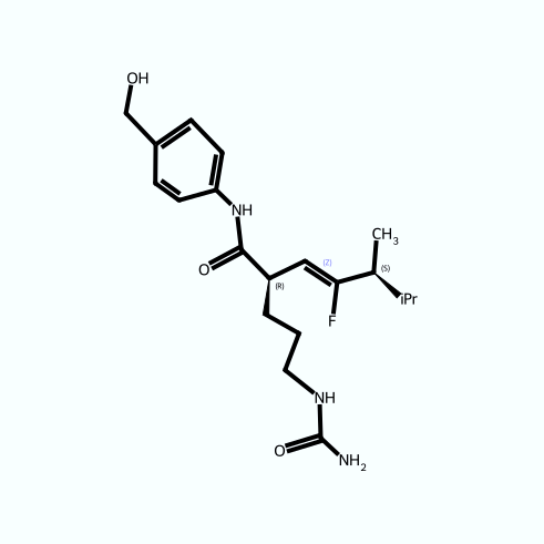 CC(C)[C@H](C)/C(F)=C/[C@@H](CCCNC(N)=O)C(=O)Nc1ccc(CO)cc1